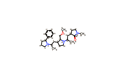 COCC1C(CC(C)N2CCCC2c2ccccc2)CCN1C(C)CC1CCN(C)C1=O